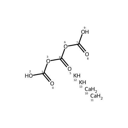 O=C(O)OC(=O)OC(=O)O.[CaH2].[CaH2].[KH].[KH]